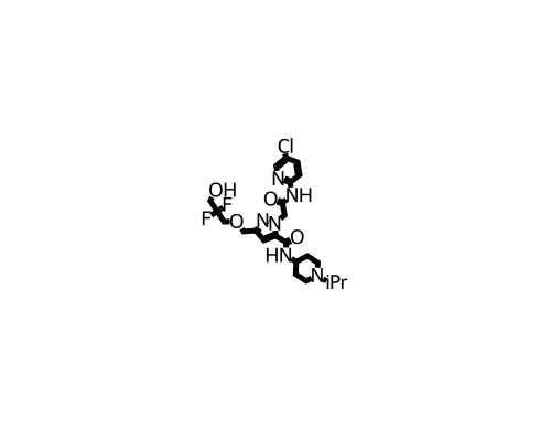 CC(C)N1CCC(NC(=O)c2cc(COCC(F)(F)CO)nn2CC(=O)Nc2ccc(Cl)cn2)CC1